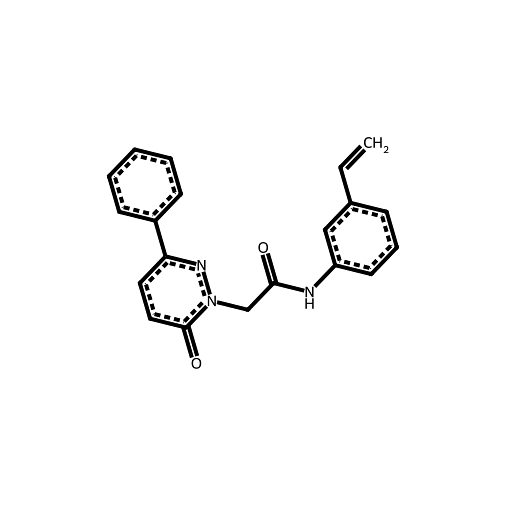 C=Cc1cccc(NC(=O)Cn2nc(-c3ccccc3)ccc2=O)c1